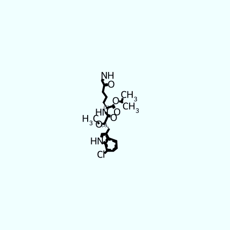 CO[C@@H](Cc1c[nH]c2c(Cl)cccc12)C(=O)N[C@@H](CCCC(=O)C=N)C(=O)OC(C)C